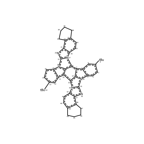 CC(C)(C)c1ccc2c(c1)c1c3c4c(c5cc(C(C)(C)C)ccc5n4c4nc5c6c(ccc5n34)CCCC6)c3c1n2c1nc2c4c(ccc2n31)CCCC4